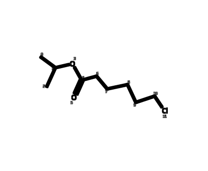 CC(C)OC(=O)CCCCCCl